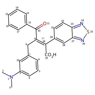 CN(C)c1cccc(C/C(C(=O)c2ccccc2)=C(\C(=O)O)c2ccc3nsnc3c2)c1